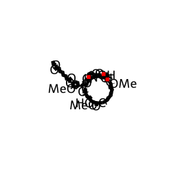 C=COC(=O)CCCCCCC(=O)O[C@@H]1CC[C@@H](C[C@@H](C)[C@@H]2CC(=O)[C@H](C)/C=C(\C)[C@@H](O)[C@@H](OC)C(=O)[C@H](C)C[C@H](C)/C=C/C=C/C=C(\C)[C@@H](OC)C[C@@H]3CC[C@@H](C)[C@@](O)(O3)C(=O)C(=O)N3CCCC[C@H]3C(=O)O2)C[C@H]1OC